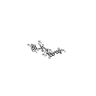 CCCC1=C(/C=C/Oc2ccc(C(=O)NC)c(C(C)=O)c2)C(=O)N(CCOC(C)(C)COC(C)(C)CN2C(=O)Cc3ccc(Oc4ccc5c(c4)C(=O)N(C)C5=O)cc3C2=O)C1=O